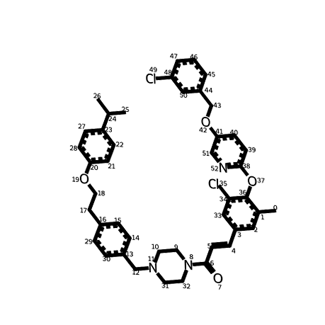 Cc1cc(/C=C/C(=O)N2CCN(Cc3ccc(CCOc4ccc(C(C)C)cc4)cc3)CC2)cc(Cl)c1Oc1ccc(OCc2cccc(Cl)c2)cn1